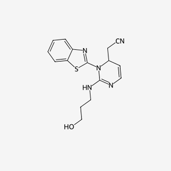 N#CCC1C=CN=C(NCCCO)N1c1nc2ccccc2s1